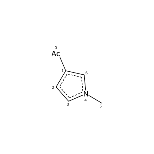 CC(=O)c1ccn(C)c1